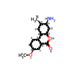 COc1ccc2c(c1)c(=O)oc1cc(N)c(C)cc12